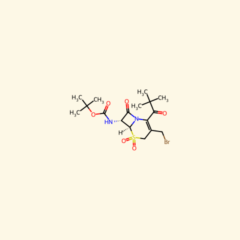 CC(C)(C)OC(=O)N[C@@H]1C(=O)N2C(C(=O)C(C)(C)C)=C(CBr)CS(=O)(=O)[C@@H]12